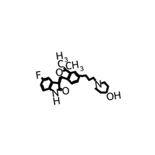 CC1(C)OC(=C2C(=O)Nc3ccc(F)cc32)c2ccc(CCCN3CCC(O)CC3)cc21